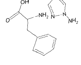 NC(Cc1ccccc1)C(=O)O.Nn1cccn1